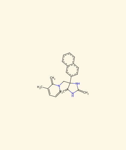 C=C1NC(=C)C(CN2C=CC=C(C)C2=C)(c2ccc3ccccc3c2)N1